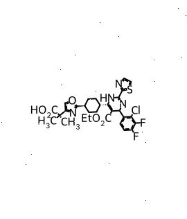 CCOC(=O)C1=C([C@H]2CC[C@H](c3nc(C(C)(C)C(=O)O)co3)CC2)NC(c2nccs2)=NC1c1ccc(F)c(F)c1Cl